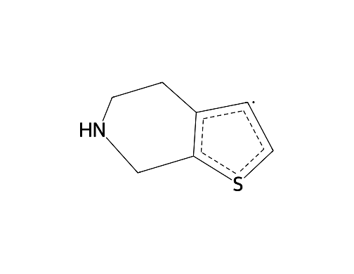 [c]1csc2c1CCNC2